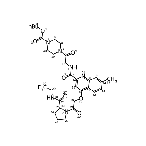 CCCCOC(=O)N1CCN(C(=O)CNC(=O)c2cc(OCC(=O)N3CCC[C@H]3C(=O)NCC(F)(F)F)c3ccc(C)cc3n2)CC1